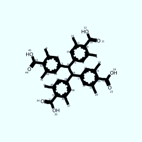 Cc1cc(C(c2cc(C)c(C(=O)O)c(C)c2)C(c2cc(C)c(C(=O)O)c(C)c2)c2cc(C)c(C(=O)O)c(C)c2)cc(C)c1C(=O)O